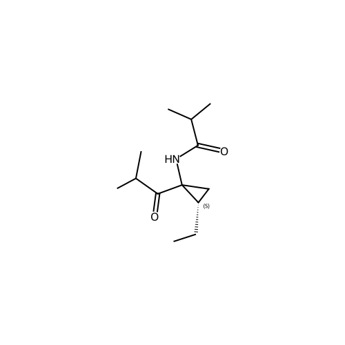 CC[C@H]1CC1(NC(=O)C(C)C)C(=O)C(C)C